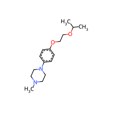 CC(C)OCCOc1ccc(N2CCN(C)CC2)cc1